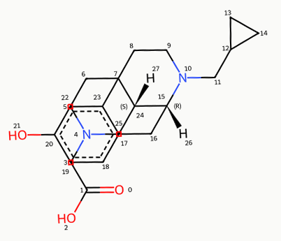 O=C(O)CN1CCC23CCN(CC4CC4)[C@H](Cc4ccc(O)cc42)[C@@H]3C1